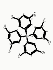 Clc1cc(Cl)cc([B-](c2cc(Cl)cc(Cl)c2)(c2cc(Cl)cc(Cl)c2)c2cc(Cl)cc(Cl)c2)c1